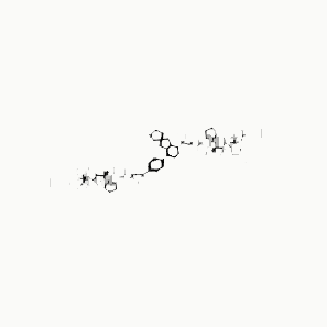 COC(=O)N[C@@H](C)C(=O)N1CCC[C@H]1C(=O)OCC(=O)c1ccc(-c2ccc(C(=O)COC(=O)[C@@H]3CCCN3C(=O)[C@H](C)NC(=O)OC)c3c2CC2(CCCC2)C3)cc1